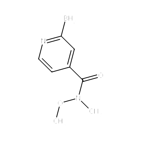 Bc1cc(C(=O)N(C)OC)ccn1